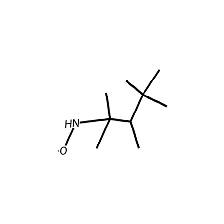 CC(C(C)(C)C)C(C)(C)N[O]